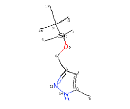 Cc1cc(CO[Si](C)(C)C(C)(C)C)n[nH]1